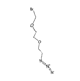 [N-]=[N+]=NCCOCCOCBr